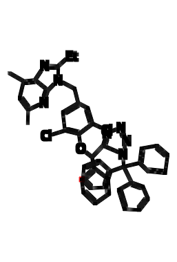 CCc1nc2c(C)cc(C)nc2n1Cc1cc(Cl)c(OC(c2ccccc2)c2nnnn2C(c2ccccc2)(c2ccccc2)c2ccccc2)c(Cl)c1